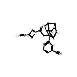 N#Cc1cccc(C2(CC(=O)N3CC(C#N)C3)C3CC4CC(C3)CC2C4)c1